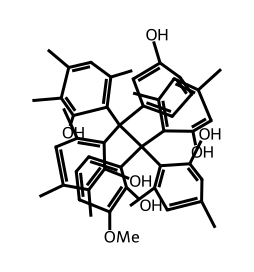 COc1cccc(C(c2c(C)cc(C)cc2O)(c2c(C)cc(C)cc2O)C(c2cccc(O)c2)(c2c(C)cc(C)c(C)c2O)c2c(C)cc(C)c(C)c2O)c1O